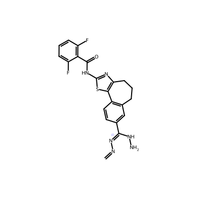 C=N/N=C(\NN)c1ccc2c(c1)CCCc1nc(NC(=O)c3c(F)cccc3F)sc1-2